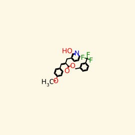 COc1ccc(/C=C(/Cc2cccnc2O)C(=O)OCc2cccc(C(F)(F)F)c2)cc1